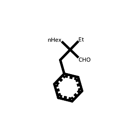 CCCCCCC(C=O)(CC)Cc1ccccc1